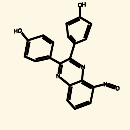 O=Nc1cccc2nc(-c3ccc(O)cc3)c(-c3ccc(O)cc3)nc12